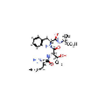 CC[C@H](C)[C@H](NC(=O)[C@H](Cc1ccccc1)NC(=O)[C@@H](NC(=O)[C@@H](N)CC(=O)O)[C@@H](C)O)C(=O)O